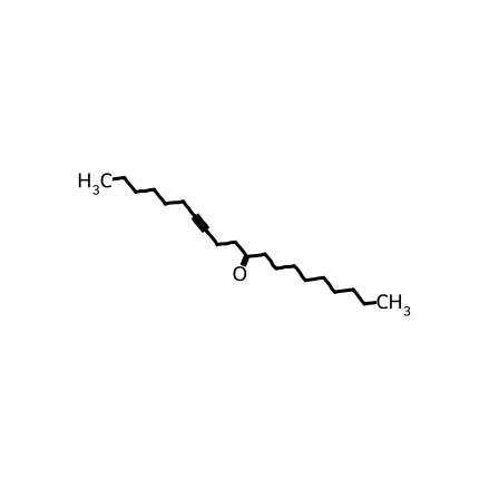 CCCCCCC#CCCC(=O)CCCCCCCCC